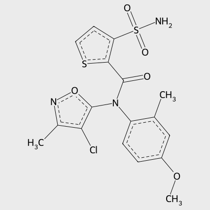 COc1ccc(N(C(=O)c2sccc2S(N)(=O)=O)c2onc(C)c2Cl)c(C)c1